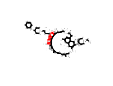 CO[C@H]1/C=C/O[C@@]2(C)Oc3c(C)c(O)c4c(c3C2=O)C2=NC3(CCN(CC(C)C)CC3)NC2=C(NC(=O)/C(C)=C\C=C\[C@H](C)[C@H](O)[C@@H](C)[C@@H](O)[C@@H](C)[C@H](OC(=O)CC(=O)N2CCC(Oc3ccccc3)CC2)[C@@H]1C)C4=O